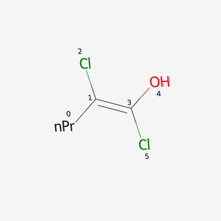 CCCC(Cl)=C(O)Cl